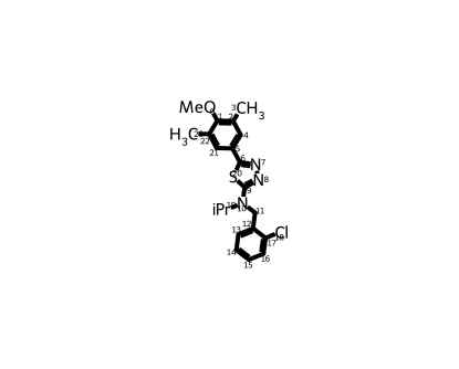 COc1c(C)cc(-c2nnc(N(Cc3ccccc3Cl)C(C)C)s2)cc1C